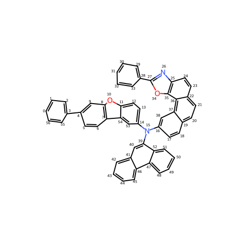 c1ccc(-c2ccc3c(c2)oc2ccc(N(c4ccc5ccc6ccc7nc(-c8ccccc8)oc7c6c5c4)c4cc5ccccc5c5ccccc45)cc23)cc1